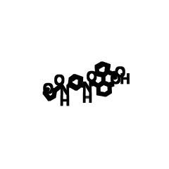 C=C1CCCC(C(=O)Nc2cccc(NC(=O)C3CCCO3)c2)C1c1ccccc1C(=O)O